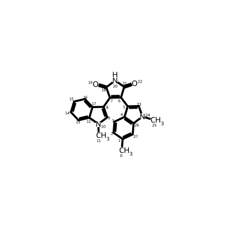 Cc1ccc2c(C3=C(c4cn(C)c5ccccc45)C(=O)NC3=O)cn(C)c2c1